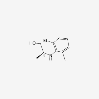 CCc1cccc(C)c1N[C@@H](C)CO